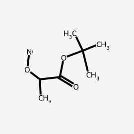 CC(O[N])C(=O)OC(C)(C)C